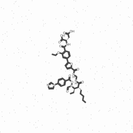 CCCCC[C@@H](C(=O)NCNC(=O)c1ccc(-c2ccc(C(=O)N[C@@H](CC(=O)O)C(=O)O)c(OCC)c2)o1)[C@@H](CC)N(C=O)OC(=O)c1ccc(-n2ccnc2)cc1